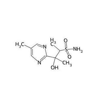 Cc1cnc(C(C)(O)C(C)S(N)(=O)=O)nc1